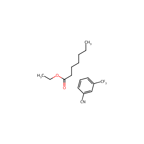 CCCCCCC(=O)OCC.N#Cc1cccc(C(F)(F)F)c1